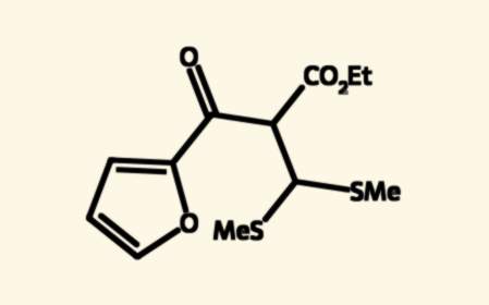 CCOC(=O)C(C(=O)c1ccco1)C(SC)SC